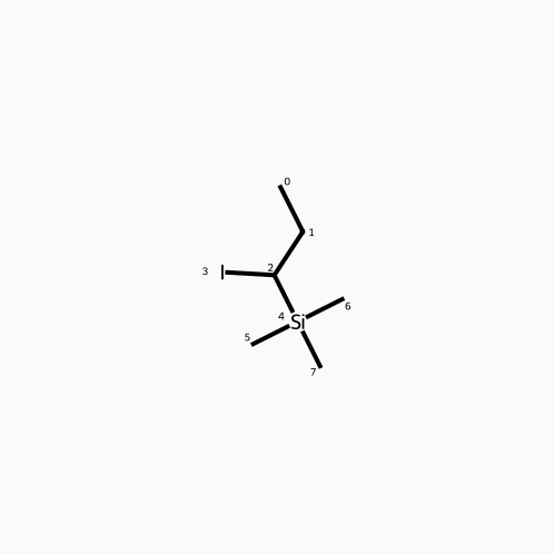 CCC(I)[Si](C)(C)C